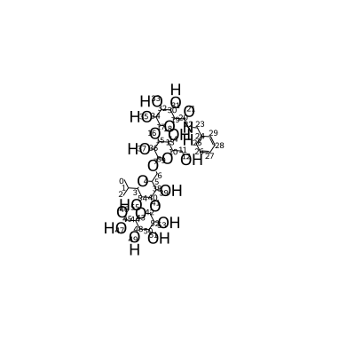 CC(C)C1OC(COC2OC(CO)C(O)C(OC3OC(C(=O)NCc4ccccc4)C(O)C(O)C3O)C2O)C(O)C(OC2OC(C(=O)O)C(O)C(O)C2O)C1O